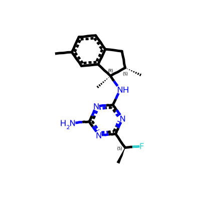 Cc1ccc2c(c1)[C@](C)(Nc1nc(N)nc([C@H](C)F)n1)[C@@H](C)C2